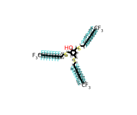 Oc1c(CSCCC(F)(F)C(F)(F)C(F)(F)C(F)(F)C(F)(F)C(F)(F)C(F)(F)C(F)(F)F)cc(CSCCC(F)(F)C(F)(F)C(F)(F)C(F)(F)C(F)(F)C(F)(F)C(F)(F)C(F)(F)F)cc1CSCCC(F)(F)C(F)(F)C(F)(F)C(F)(F)C(F)(F)C(F)(F)C(F)(F)C(F)(F)F